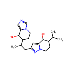 CC(C)C1CCn2nc(CC(C)C3CCn4cncc4C3O)cc2C1O